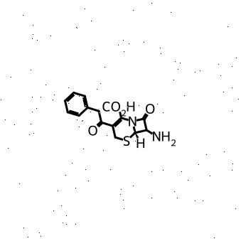 NC1C(=O)N2C(C(=O)O)=C(C(=O)Cc3ccccc3)CS[C@@H]12